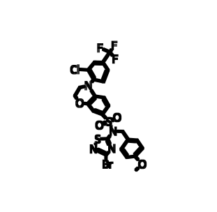 COc1ccc(CN(c2nc(Br)ns2)S(=O)(=O)c2ccc3c(c2)OCCN3c2ccc(C(F)(F)F)cc2Cl)cc1